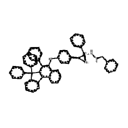 c1ccc(CNN[C@]2(c3ccccc3)NC2c2ccc(Nc3c(-c4ccccc4)c4c(c5ccccc35)-c3ccccc3C4(c3ccccc3)c3ccccc3)cc2)cc1